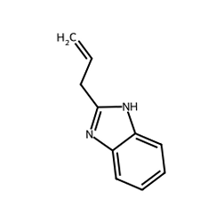 C=CCc1nc2ccccc2[nH]1